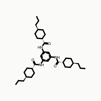 CCC[C@H]1CC[C@H](C(=O)Nc2cc(NC(=O)[C@H]3CC[C@H](CCC)CC3)cc(NC(=O)[C@H]3CC[C@H](CCC)CC3)c2)CC1